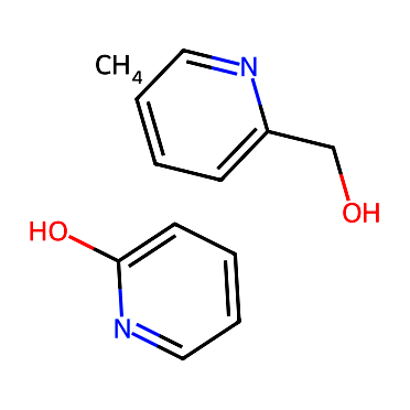 C.OCc1ccccn1.Oc1ccccn1